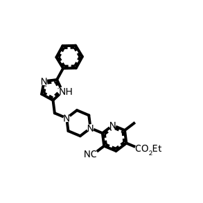 CCOC(=O)c1cc(C#N)c(N2CCN(Cc3cnc(-c4ccccc4)[nH]3)CC2)nc1C